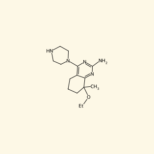 CCOC1(C)CCCc2c(N3CCNCC3)nc(N)nc21